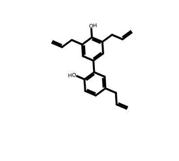 C=CCc1ccc(O)c(-c2cc(CC=C)c(O)c(CC=C)c2)c1